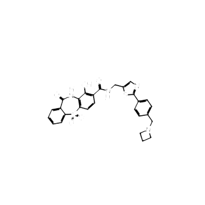 Cc1c(C(=O)NCc2cnc(-c3ccc(CN4CCC4)cc3)s2)ccc2c1NC(=O)c1ccccc1S2(=O)=O